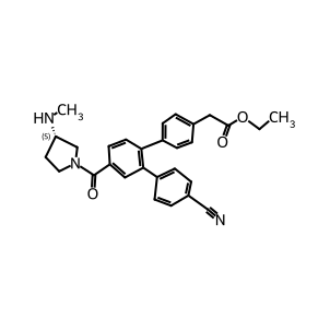 CCOC(=O)Cc1ccc(-c2ccc(C(=O)N3CC[C@H](NC)C3)cc2-c2ccc(C#N)cc2)cc1